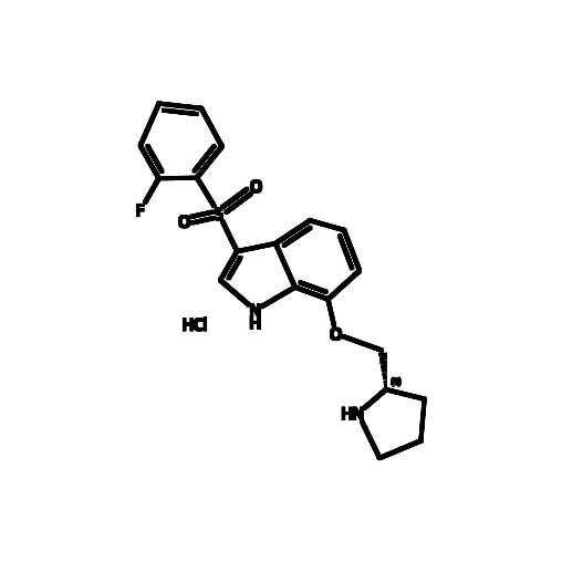 Cl.O=S(=O)(c1ccccc1F)c1c[nH]c2c(OC[C@@H]3CCCN3)cccc12